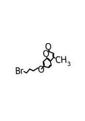 Cc1cc(=O)oc2cc(OCCCCBr)ccc12